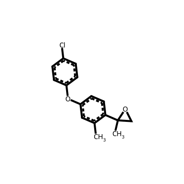 Cc1cc(Oc2ccc(Cl)cc2)ccc1C1(C)CO1